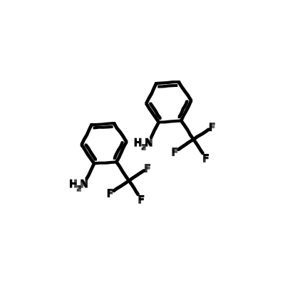 Nc1ccccc1C(F)(F)F.Nc1ccccc1C(F)(F)F